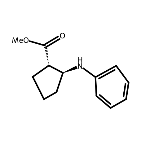 COC(=O)[C@H]1CCC[C@@H]1Nc1ccccc1